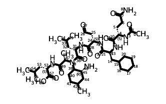 CC(=O)N[C@@H](CCC(N)=O)C(=O)N[C@@H](CC1CCCCC1)C(=O)N[C@@H](CC=O)C(=O)N[C@@H](CC(C)C)C(=O)N(C1CCC(C)C[C@H]1N)[C@@H](C)C(=O)N[C@@H](CC(C)C)C(=O)O